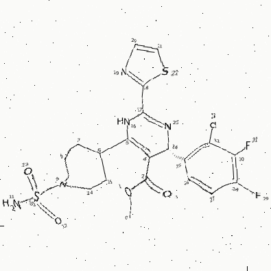 COC(=O)C1=C(C2CCN(S(N)(=O)=O)CC2)NC(c2nccs2)=N[C@@H]1c1ccc(F)c(F)c1Cl